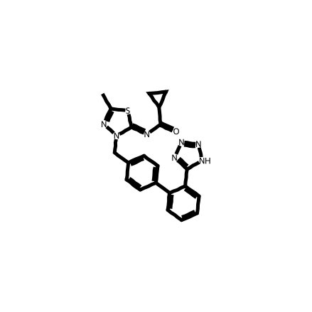 Cc1nn(Cc2ccc(-c3ccccc3-c3nnn[nH]3)cc2)c(=NC(=O)C2CC2)s1